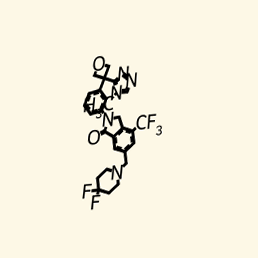 Cn1cnnc1C1(c2cccc(N3Cc4c(cc(CN5CCC(F)(F)CC5)cc4C(F)(F)F)C3=O)c2)COC1